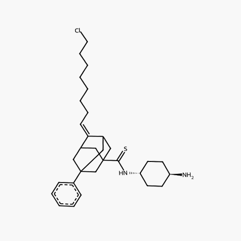 N[C@H]1CC[C@H](NC(=S)C23CC4CC(c5ccccc5)(CC(C2)C4=CCCCCCCCCl)C3)CC1